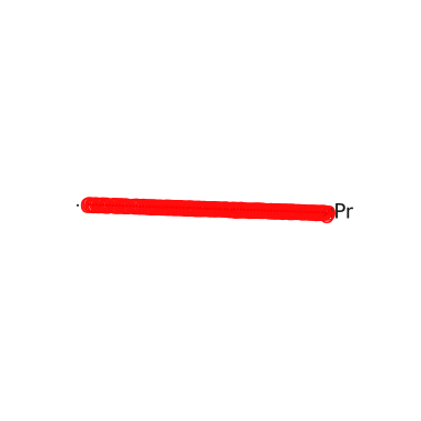 CCCOC(=O)OOOOOOOOOOOOOOOOOOOOOOOOOOOOOOOOOOOOOOOOOOOOOOOOOOOOOOOOOOOOOOOOOOOOOOOOOOOOOOOOOOOOOOOOOOOOOOOOOOOOOOOOOOOOOOOOOOOCCOOOOOOOOOOCCOOOOOOOOOOOO[O]